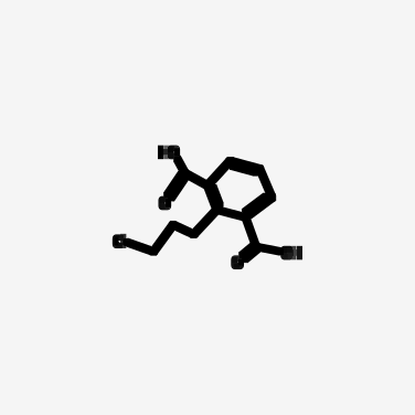 O=C(O)c1cccc(C(=O)O)c1CCCCl